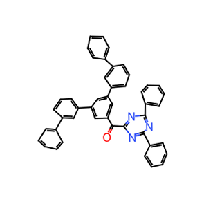 O=C(c1cc(-c2cccc(-c3ccccc3)c2)cc(-c2cccc(-c3ccccc3)c2)c1)c1nc(-c2ccccc2)nc(-c2ccccc2)n1